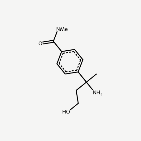 CNC(=O)c1ccc(C(C)(N)CCO)cc1